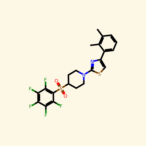 Cc1cccc(-c2csc(N3CCC(S(=O)(=O)c4c(F)c(F)c(F)c(F)c4F)CC3)n2)c1C